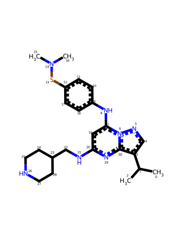 CC(C)c1cnn2c(Nc3ccc(SN(C)C)cc3)cc(NCC3CCNCC3)nc12